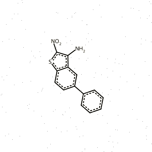 Nc1c([N+](=O)[O-])sc2ccc(-c3ccccc3)cc12